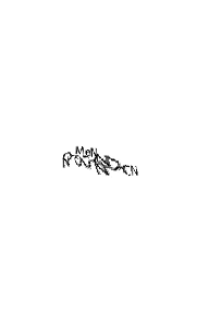 CNc1c(-c2ccc(OCc3cccnc3)cc2)nc2cc(C#N)ccn12